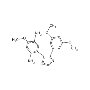 COc1cc(OC)cc(-c2ncoc2-c2cc(N)c(OC)cc2N)c1